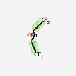 [O]=[Sn]([CH2]CC(F)(F)C(F)(F)C(F)(F)C(F)(F)C(F)(F)C(F)(F)F)[CH2]CC(F)(F)C(F)(F)C(F)(F)C(F)(F)C(F)(F)C(F)(F)F